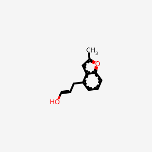 Cc1cc2c(C/C=C/O)cccc2o1